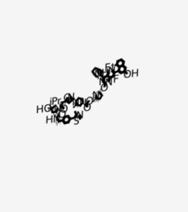 CCc1cccc2cc(O)cc(-c3ncc4c(N5CC6CCC(C5)N6)nc(OC[C@@H]5CC[C@@H](COC(=O)N6CCN(c7cc([C@H](C(=O)N8C[C@H](O)C[C@H]8C(=O)N[C@@H](C)c8ccc(-c9scnc9C)cc8)C(C)C)on7)[C@H](C)C6)N5C)nc4c3F)c12